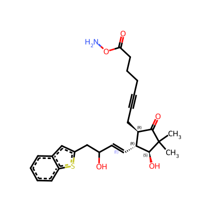 CC1(C)C(=O)[C@H](CC#CCCCC(=O)ON)[C@@H](/C=C/C(O)Cc2cc3ccccc3s2)[C@@H]1O